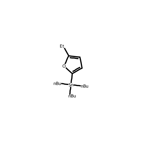 CCC[CH2][Sn]([CH2]CCC)([CH2]CCC)[c]1ccc(CC)o1